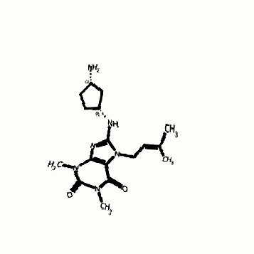 CC(C)=CCn1c(N[C@@H]2CC[C@H](N)C2)nc2c1c(=O)n(C)c(=O)n2C